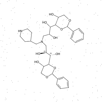 OC(CN(CC1CCNCC1)C[C@H](O)[C@H](O)C1OC(c2ccccc2)OCC1O)C(O)C1OC(c2ccccc2)OCC1O